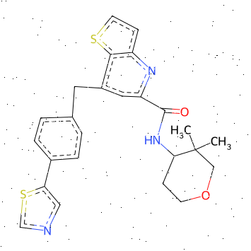 CC1(C)COCCC1NC(=O)c1cc(Cc2ccc(-c3cncs3)cc2)c2sccc2n1